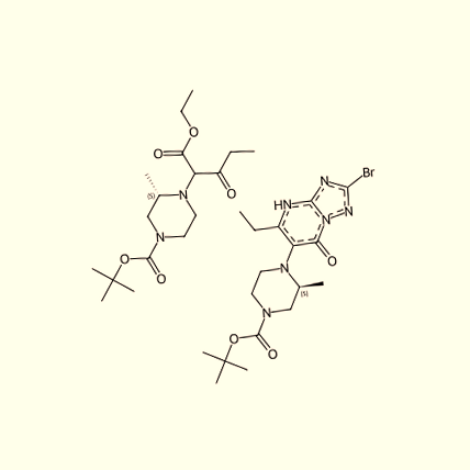 CCOC(=O)C(C(=O)CC)N1CCN(C(=O)OC(C)(C)C)C[C@@H]1C.CCc1[nH]c2nc(Br)nn2c(=O)c1N1CCN(C(=O)OC(C)(C)C)C[C@@H]1C